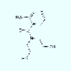 Cc1ccccc1C(=O)N(CCO)CCO